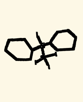 I[Si](I)(I)[Si](I)(C1CCCCC1)C1CCCCC1